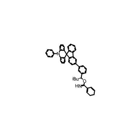 CC[C@H](C)C(OC(=N)C1=CCCC=C1)c1cccc(-c2ccc3c(c2)-c2ccccc2C32c3ccccc3N(c3ccccc3)c3ccccc32)c1